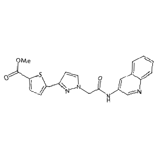 COC(=O)c1ccc(-c2ccn(CC(=O)Nc3cnc4ccccc4c3)n2)s1